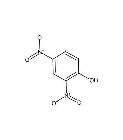 O=[N+]([O-])c1[c]cc(O)c([N+](=O)[O-])c1